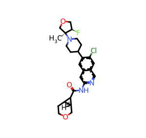 C[C@]1(N2CCC(c3cc4cc(NC(=O)C5[C@@H]6CCOC[C@@H]56)ncc4cc3Cl)CC2)COC[C@H]1F